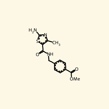 COC(=O)c1ccc(CNC(=O)c2sc(N)nc2C)cc1